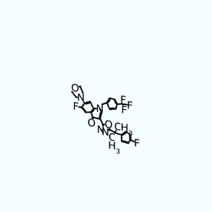 CC(C)(c1ccc(F)cc1)c1nnc(-c2cn(Cc3ccc(C(F)(F)F)cc3)c3cc(N4CCOCC4)c(F)cc3c2=O)o1